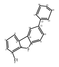 CCc1cccc2c1sc1ccc(-c3ccccc3)cc12